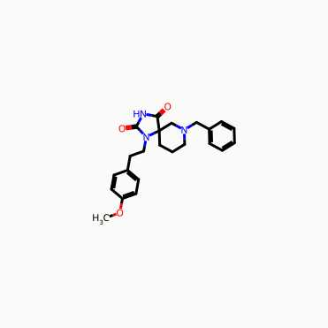 COc1ccc(CCN2C(=O)NC(=O)C23CCCN(Cc2ccccc2)C3)cc1